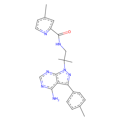 Cc1ccc(-c2nn(C(C)(C)CNC(=O)c3cc(C)ccn3)c3ncnc(N)c23)cc1